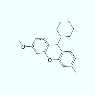 COc1ccc2c(c1)Oc1cc(C)ccc1C2C1CCCCC1